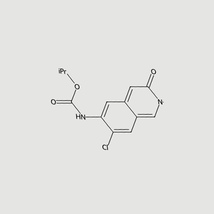 CC(C)OC(=O)Nc1cc2c(cc1Cl)=C[N]C(=O)C=2